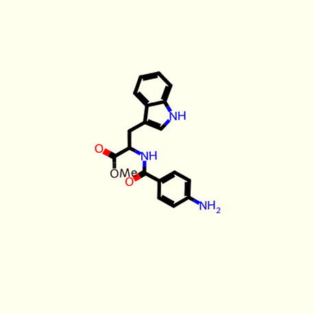 COC(=O)C(Cc1c[nH]c2ccccc12)NC(=O)c1ccc(N)cc1